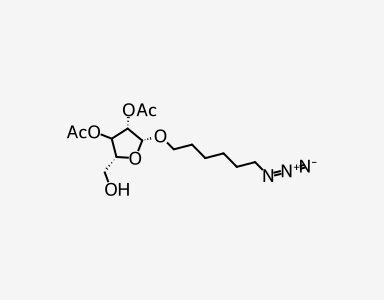 CC(=O)OC1[C@@H](CO)O[C@@H](OCCCCCCN=[N+]=[N-])[C@H]1OC(C)=O